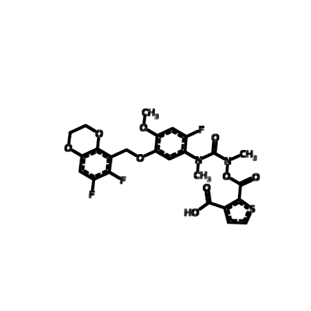 COc1cc(F)c(N(C)C(=O)N(C)OC(=O)c2sccc2C(=O)O)cc1OCc1c(F)c(F)cc2c1OCCO2